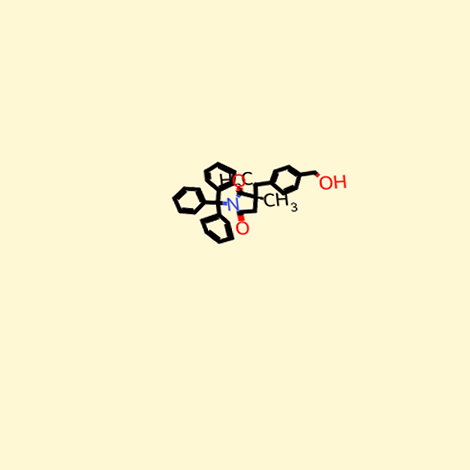 CC(c1ccc(CO)cc1)[C@]1(C)CC(=O)N(C(c2ccccc2)(c2ccccc2)c2ccccc2)C1=O